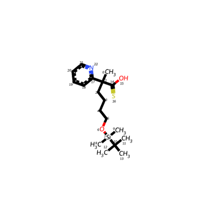 CC(CCCCO[Si](C)(C)C(C)(C)C)(C(O)=S)c1ccccn1